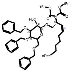 CCCCCCCCCCCCCC/C=C\[C@H](CO[C@H]1OC(COCc2ccccc2)[C@@H](OCc2ccccc2)[C@@H](OCc2ccccc2)[C@H]1C)N(C(=O)OC(C)(C)C)C(=O)OC(C)(C)C